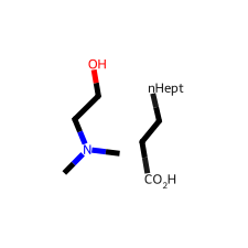 CCCCCCCCCC(=O)O.CN(C)CCO